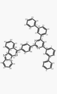 c1ccc(-c2cccc(-c3cc(-c4cccc(-c5ccccc5)c4)nc(-c4ccc(-c5nc6c(nc7ccccn76)c6ccccc56)cc4)n3)c2)cc1